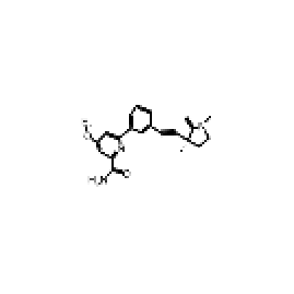 C=C1N(C)CC[C@@]1(C)C#Cc1cccc(-c2cc(OCC)cc(C(N)=O)n2)c1